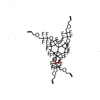 C=CCOCC(F)(F)C(F)(F)OCC1(F)C(F)(F)C(F)(F)C(F)(C(F)(F)OC(F)(F)C(F)(F)COCC=C)C2(F)C(F)(C(F)(F)OC(F)(F)C(F)(F)COCC=C)C(F)(F)C(F)(F)C(F)(C(F)(F)OC(F)(F)C(F)(F)COCC=C)C12F